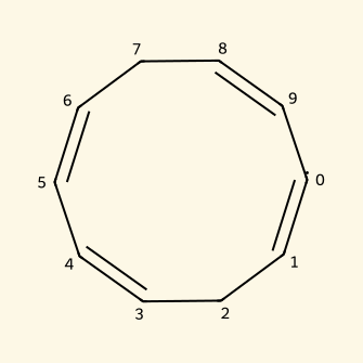 [C]1=CCC=CC=CCC=C1